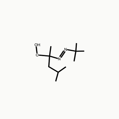 CC(C)CC(C)(N=NC(C)(C)C)OO